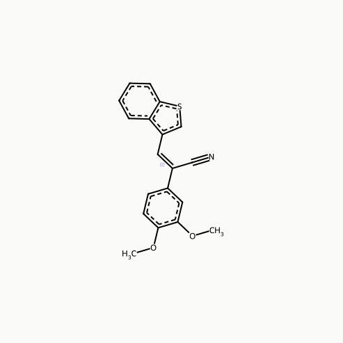 COc1ccc(/C(C#N)=C/c2csc3ccccc23)cc1OC